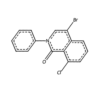 O=c1c2c(Cl)cccc2c(Br)cn1-c1ccccc1